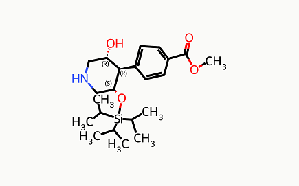 COC(=O)c1ccc([C@@H]2[C@@H](O)CNC[C@H]2O[Si](C(C)C)(C(C)C)C(C)C)cc1